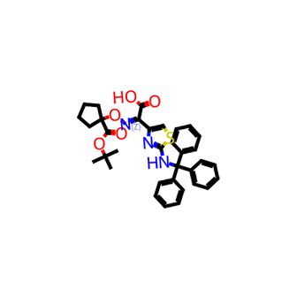 CC(C)(C)OC(=O)C1(O/N=C(\C(=O)O)c2csc(NC(c3ccccc3)(c3ccccc3)c3ccccc3)n2)CCCC1